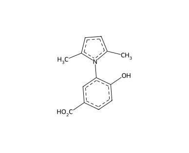 Cc1ccc(C)n1-c1cc(C(=O)O)ccc1O